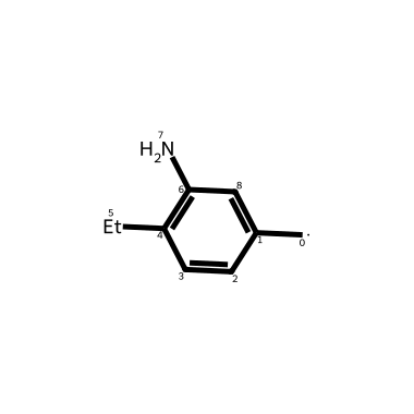 [CH2]c1ccc(CC)c(N)c1